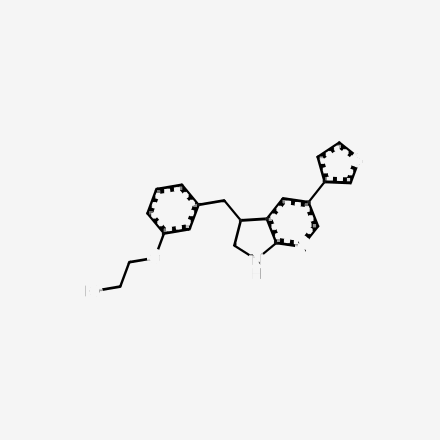 OCCOc1cccc(CC2CNc3ncc(-c4ccsc4)cc32)c1